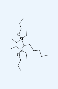 CCCCCC([Si](CC)(CC)OCCC)[Si](CC)(CC)OCCC